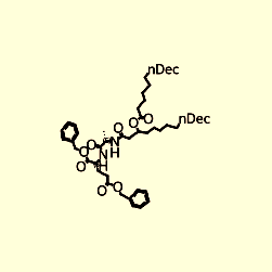 CCCCCCCCCCCCCCCC(=O)OC(CCCCCCCCCCCCCCC)CC(=O)N[C@@H](C)C(=O)N[C@@H](CCC(=O)OCc1ccccc1)C(=O)OCc1ccccc1